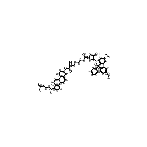 COc1ccc(C(OCC2CN(C(=O)CCCCCNC(=O)O[C@H]3CC[C@@]4(C)C(=CCC5C6CCC([C@@H](C)CCCC(C)C)[C@@]6(C)CCC54)C3)CC2O)(c2ccccc2)c2ccc(OC)cc2)cc1